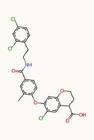 Cc1cc(C(=O)NCCc2ccc(Cl)cc2Cl)ccc1Oc1cc2c(cc1Cl)C(C(=O)O)CCO2